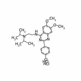 COc1cc2nc(-c3ccc(Cl)cc3)nc(NCCN(C(C)C)C(C)C)c2cc1OC.Cl.Cl